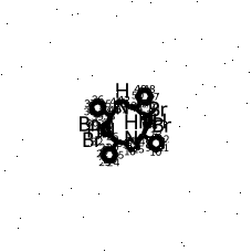 Brc1c2[nH]c(c1Br)C(c1ccccc1)=C1CC=C(N1)C(c1ccccc1)=c1[nH]c(c(Br)c1Br)=C(c1ccccc1)C1C=CC(=C2c2ccccc2)N1